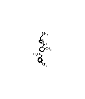 C[C@@H]1C[C@@H](N(C)Cc2cccc(C(F)(F)F)c2)CCN1C(=O)n1ccc(CCN)n1